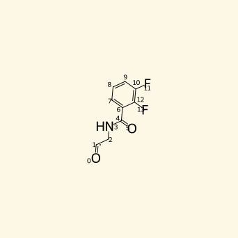 O=[C]CNC(=O)c1cccc(F)c1F